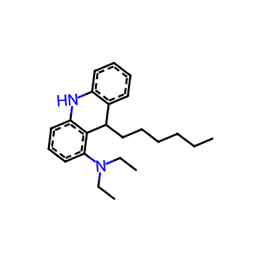 CCCCCCC1c2ccccc2Nc2cccc(N(CC)CC)c21